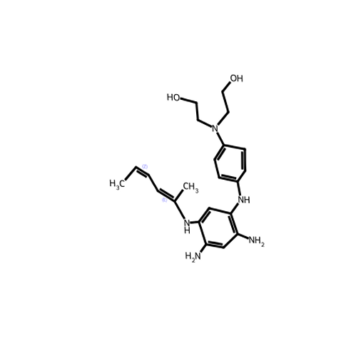 C/C=C\C=C(/C)Nc1cc(Nc2ccc(N(CCO)CCO)cc2)c(N)cc1N